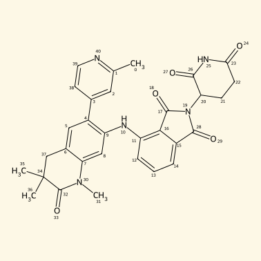 Cc1cc(-c2cc3c(cc2Nc2cccc4c2C(=O)N(C2CCC(=O)NC2=O)C4=O)N(C)C(=O)C(C)(C)C3)ccn1